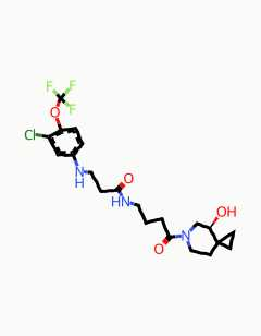 O=C(CCNc1ccc(OC(F)(F)F)c(Cl)c1)NCCCC(=O)N1CCC2(CC2)[C@H](O)C1